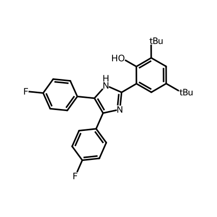 CC(C)(C)c1cc(-c2nc(-c3ccc(F)cc3)c(-c3ccc(F)cc3)[nH]2)c(O)c(C(C)(C)C)c1